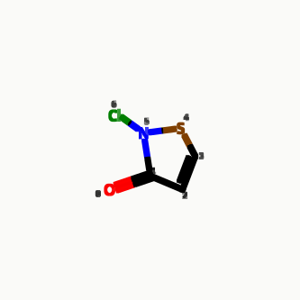 O=c1ccsn1Cl